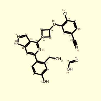 CCc1cc(O)ccc1-c1cc2[nH]ncc2c(N2CC(Oc3cc(C#N)ccc3Cl)C2)n1.O=CO